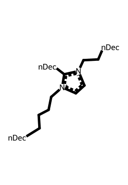 CCCCCCCCCCCCCC[n+]1ccn(CCCCCCCCCCCC)c1CCCCCCCCCC